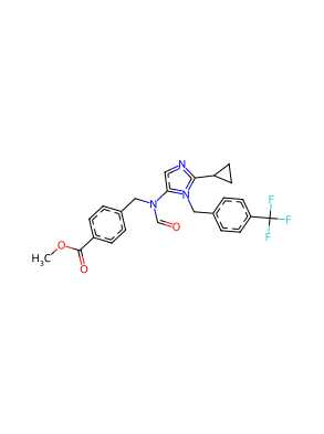 COC(=O)c1ccc(CN(C=O)c2cnc(C3CC3)n2Cc2ccc(C(F)(F)F)cc2)cc1